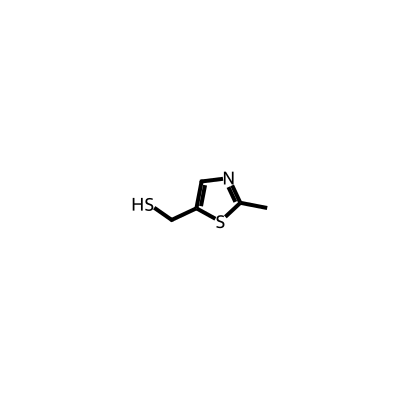 Cc1ncc(CS)s1